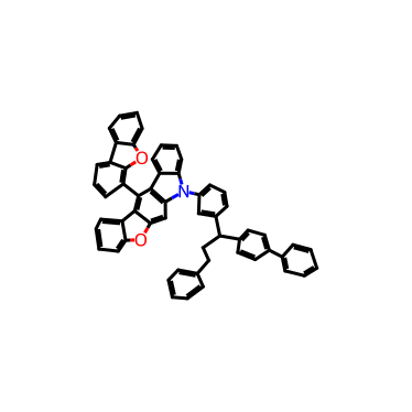 c1ccc(CCC(c2ccc(-c3ccccc3)cc2)c2cccc(-n3c4ccccc4c4c(-c5cccc6c5oc5ccccc56)c5c(cc43)oc3ccccc35)c2)cc1